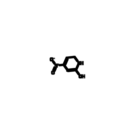 O=[N+]([O-])C1=CCNC(O)=[C]1